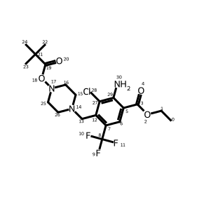 CCOC(=O)c1cc(C(F)(F)F)c(CN2CCN(OC(=O)C(C)(C)C)CC2)c(Cl)c1N